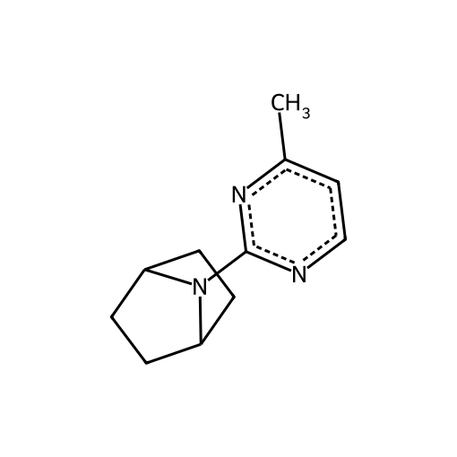 Cc1ccnc(N2C3CCC2CC3)n1